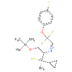 CC(C)(C)[Si](C)(C)OCC(/N=C\C(F)(F)Oc1ccc(F)cc1)[C@](C)(S)C1CC1